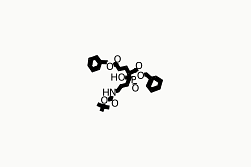 CC(C)(C)OC(=O)NCCCC(O)(P=O)C(CCC(=O)OCc1ccccc1)C(=O)OCc1ccccc1